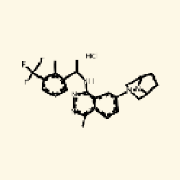 Cc1c(C(C)Nc2nnc(C)c3ccc(N4CC5CCC(C4)N5C)cc23)cccc1C(F)(F)F.Cl